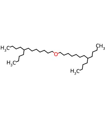 CCCCC(CCCC)CCCCCCCOCCCCCCCC(CCCC)CCCC